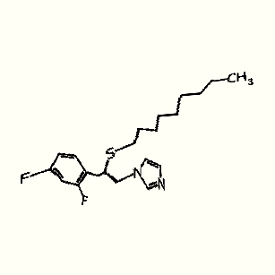 CCCCCCCCCSC(Cn1ccnc1)c1ccc(F)cc1F